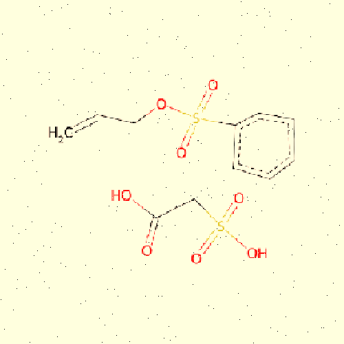 C=CCOS(=O)(=O)c1ccccc1.O=C(O)CS(=O)(=O)O